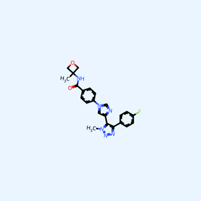 Cn1nnc(-c2ccc(F)cc2)c1-c1cn(-c2ccc(C(=O)NC3(C)COC3)cc2)cn1